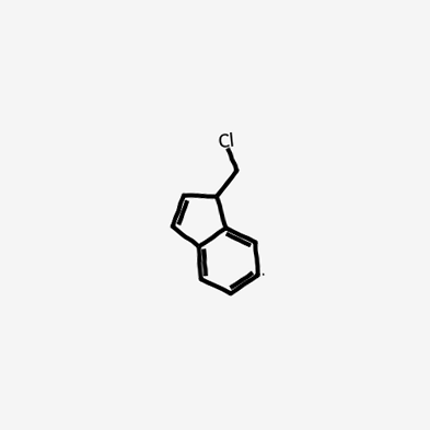 ClCC1C=Cc2cc[c]cc21